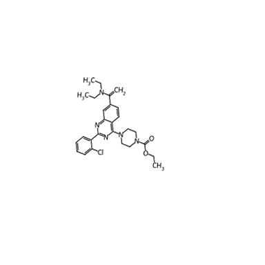 C=C(c1ccc2c(N3CCN(C(=O)OCC)CC3)nc(-c3ccccc3Cl)nc2c1)N(CC)CC